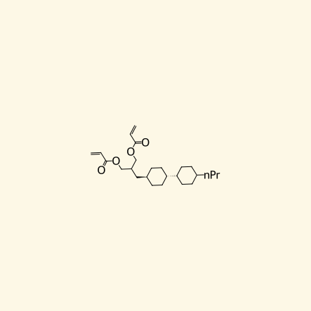 C=CC(=O)OCC(COC(=O)C=C)C[C@H]1CC[C@H](C2CCC(CCC)CC2)CC1